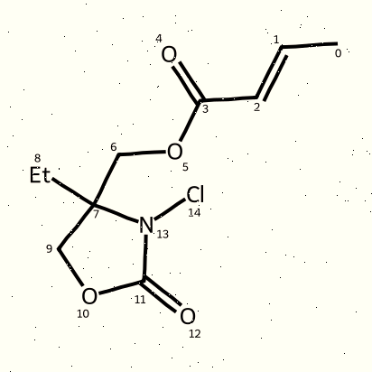 CC=CC(=O)OCC1(CC)COC(=O)N1Cl